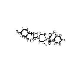 C[C@H]1CN(C(=O)Nc2ccc(F)cc2F)CCN1S(=O)(=O)c1ccccc1F